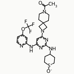 CC(=O)N1CCC2(CC1)CN(c1cc(Nc3cc(OC(F)(F)F)ccn3)nc(NC3CC[S+]([O-])CC3)n1)C2